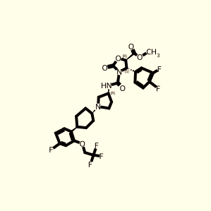 COC(=O)[C@@H]1OC(=O)N(C(=O)N[C@@H]2CCN([C@H]3CC[C@H](c4ccc(F)cc4OCC(F)(F)F)CC3)C2)[C@H]1c1ccc(F)c(F)c1